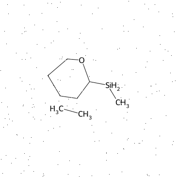 CC.C[SiH2]C1CCCCO1